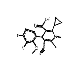 COc1c(C2C(C#N)=C(C)N(C)C(C3CC3)=C2C(=O)O)ccc(F)c1F